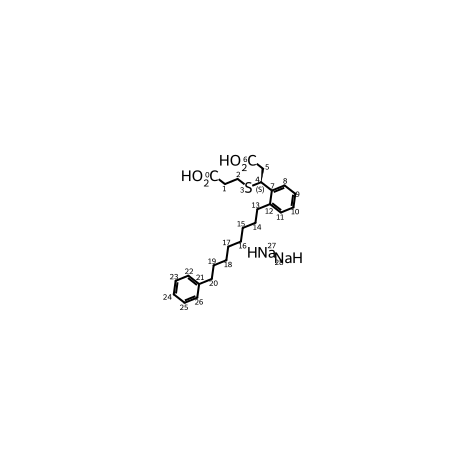 O=C(O)CCS[C@@H](CC(=O)O)c1ccccc1CCCCCCCCc1ccccc1.[NaH].[NaH]